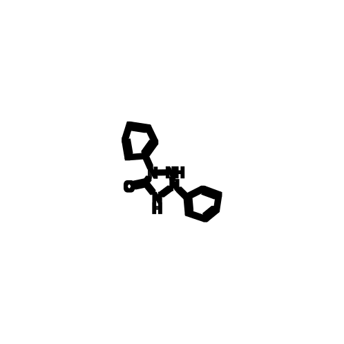 O=C1NN(c2ccccc2)NN1c1ccccc1